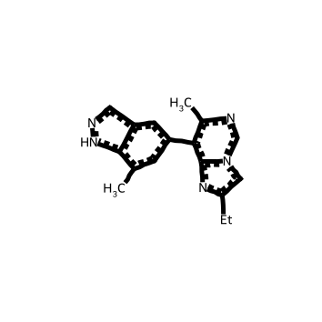 CCc1cn2cnc(C)c(-c3cc(C)c4[nH]ncc4c3)c2n1